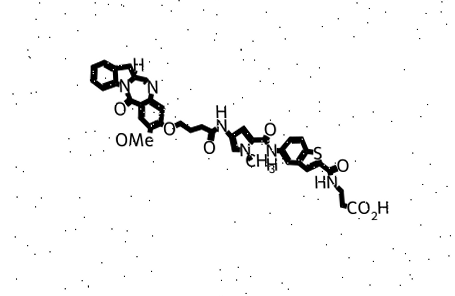 COc1cc2c(cc1OCCCC(=O)Nc1cc(C(=O)Nc3ccc4sc(C(=O)NCCC(=O)O)cc4c3)n(C)c1)N=C[C@@H]1Cc3ccccc3N1C2=O